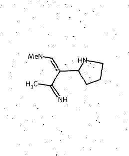 CN/C=C(\C(C)=N)C1CCCN1